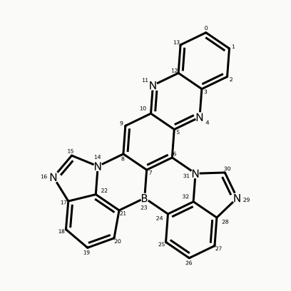 c1ccc2nc3c4c5c(cc3nc2c1)-n1cnc2cccc(c21)B5c1cccc2ncn-4c12